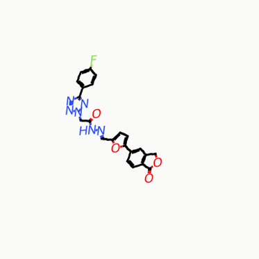 O=C(Cn1nnc(-c2ccc(F)cc2)n1)N/N=C/c1ccc(-c2ccc3c(c2)COC3=O)o1